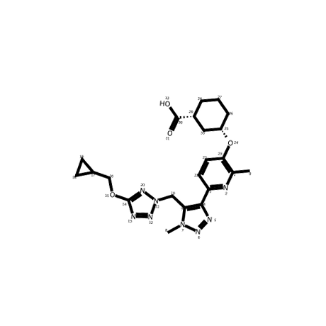 Cc1nc(-c2nnn(C)c2Cn2nnc(OCC3CC3)n2)ccc1O[C@H]1CCC[C@@H](C(=O)O)C1